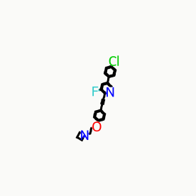 Fc1cc(-c2ccc(Cl)cc2)cnc1C#Cc1ccc(OCCN2CCC2)cc1